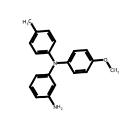 COc1ccc(N(c2ccc(C)cc2)c2cccc(N)c2)cc1